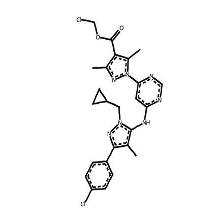 Cc1nn(-c2cc(Nc3c(C)c(-c4ccc(Cl)cc4)nn3CC3CC3)ncn2)c(C)c1C(=O)OCCl